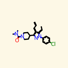 C=C/C=c1/c(C2CCN(C(=O)N(C)C)CC2)nn(-c2ccc(Cl)cc2)/c1=C/C